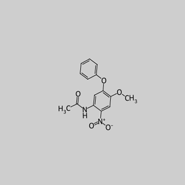 COc1cc([N+](=O)[O-])c(NC(C)=O)cc1Oc1ccccc1